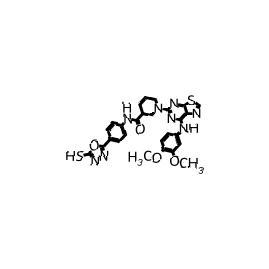 COc1ccc(Nc2nc(N3CCCC(C(=O)Nc4ccc(-c5nnc(S)o5)cc4)C3)nc3scnc23)cc1OC